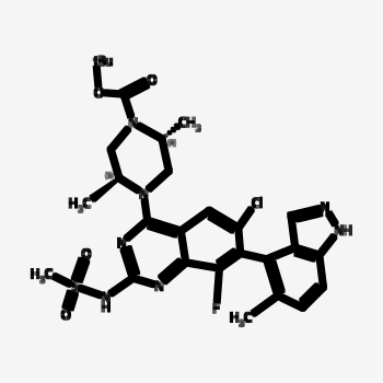 Cc1ccc2[nH]ncc2c1-c1c(Cl)cc2c(N3C[C@@H](C)N(C(=O)OC(C)(C)C)C[C@@H]3C)nc(NS(C)(=O)=O)nc2c1F